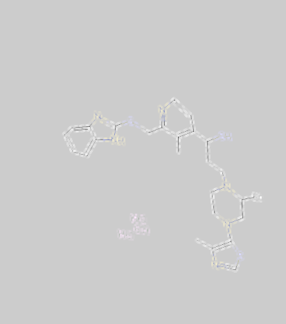 CCC1CN(c2scnc2C)CCN1CCC(S)c1ccnc(CSc2nc3ccccc3[nH]2)c1C.Cl.Cl.Cl